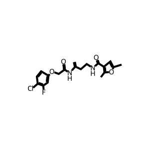 C=C(CCNC(=O)c1cc(C)oc1C)NC(=O)COc1ccc(Cl)c(F)c1